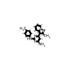 Cc1ccc(Nc2nc(N)cc(-c3c(C)nn4ccccc34)n2)cc1